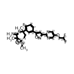 CN=[S@]1(=O)CC[C@@](C)(c2cc(-c3cc(-c4ncc(OCC(F)F)cn4)no3)ccc2F)N=C(N)C1(C)C